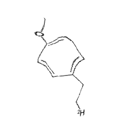 [2H]CCc1ccc(OC)cc1